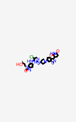 C[C@H](O)CCn1c(=O)n(C)c2ccc(Nc3nc(N(C)C4CCN(c5ccc6c(C7CCC(=O)NC7=O)nn(C)c6c5)CC4)ncc3Cl)cc21